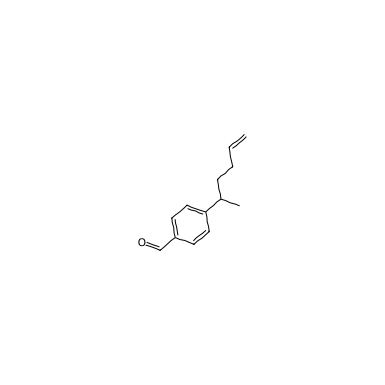 C=CCCC(C)c1ccc(C=O)cc1